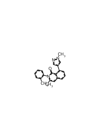 Cc1ccccc1-n1c(C)cc2cccc(-c3cnn(C)c3)c2c1=O